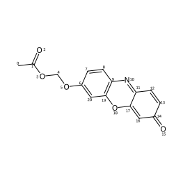 CC(=O)OCOc1ccc2nc3ccc(=O)cc-3oc2c1